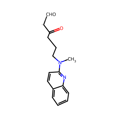 CN(CCCC(=O)[CH]C=O)c1ccc2ccccc2n1